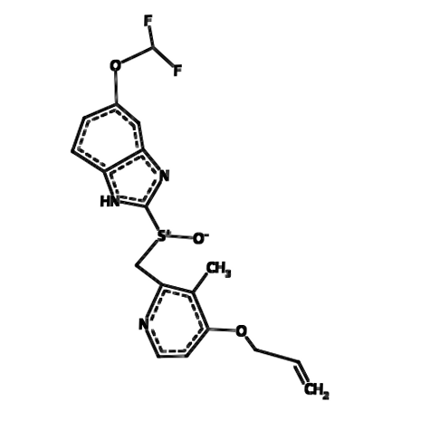 C=CCOc1ccnc(C[S+]([O-])c2nc3cc(OC(F)F)ccc3[nH]2)c1C